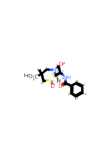 CC1(C(=O)O)CN2C(=O)C(NC(=O)c3ccccc3)[C@H]2[S+]([O-])C1